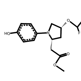 COC(=O)C[C@H]1C[C@@H](OC(F)F)CN1c1ccc(O)cc1